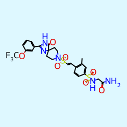 Cc1cc(S(=O)(=O)NCC(N)=O)ccc1/C=C/S(=O)(=O)N1CCC2(CC1)N=C(c1cccc(OC(F)(F)F)c1)NC2=O